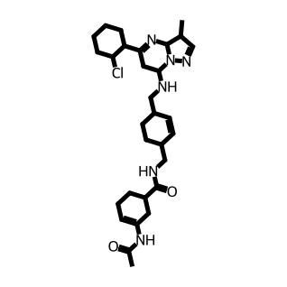 CC(=O)NC1=CCCC(C(=O)NCC2C=CC(CNC3CC(C4CCCCC4Cl)=NC4C(C)C=NN34)CC2)C1